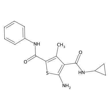 Cc1c(C(=O)Nc2ccccc2)sc(N)c1C(=O)NC1CC1